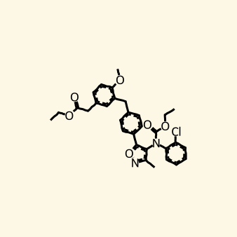 CCOC(=O)Cc1ccc(OC)c(Cc2ccc(-c3onc(C)c3N(C(=O)OCC)c3ccccc3Cl)cc2)c1